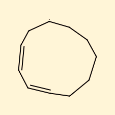 [CH]1CC=CC=CCCCCC1